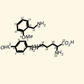 CC(=O)Nc1ccc(C=O)cc1.COc1ccccc1CN.NCCCC(N)C(=O)O